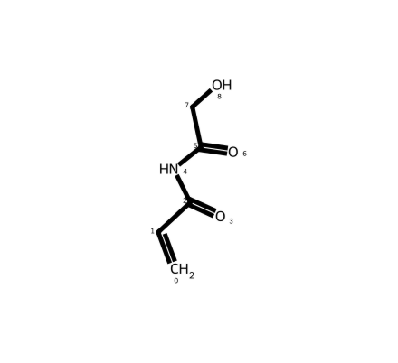 C=CC(=O)NC(=O)CO